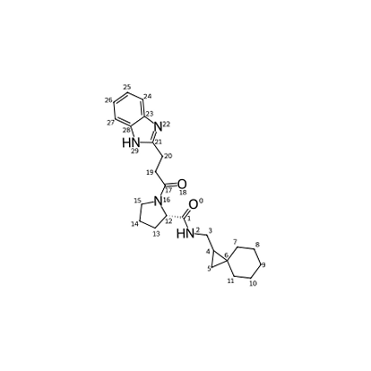 O=C(NCC1CC12CCCCC2)[C@@H]1CCCN1C(=O)CCc1nc2ccccc2[nH]1